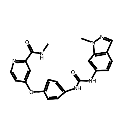 CNC(=O)c1cc(Oc2ccc(NC(=O)Nc3ccc4cnn(C)c4c3)cc2)ccn1